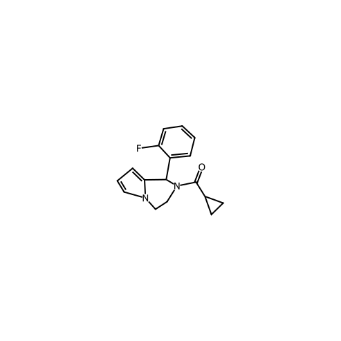 O=C(C1CC1)N1CCn2cccc2C1c1ccccc1F